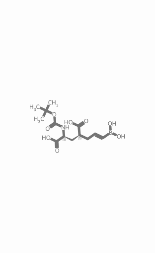 CC(C)(C)OC(=O)N[C@@H](C[C@H](CC=CB(O)O)C(=O)O)C(=O)O